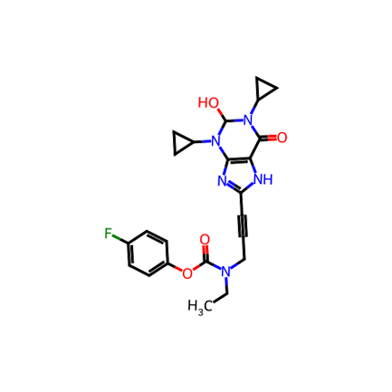 CCN(CC#Cc1nc2c([nH]1)C(=O)N(C1CC1)C(O)N2C1CC1)C(=O)Oc1ccc(F)cc1